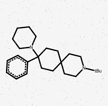 CC(C)(C)N1CCC2(CC1)CCC(c1ccccc1)(N1CCCCC1)CC2